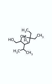 CCC(C)(CC)CC(C(C)C)C(O)CO